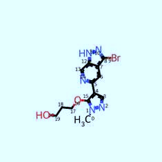 Cn1ncc(-c2cc3c(Br)n[nH]c3cn2)c1OCCCO